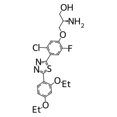 CCOc1ccc(-c2nnc(-c3cc(F)c(OC[C@H](N)CO)cc3Cl)s2)c(OCC)c1